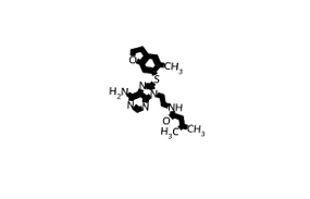 Cc1cc2c(cc1Sc1nc3c(N)ncnc3n1CCNC(=O)CC(C)C)OCC2